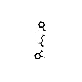 Nc1ccccc1C(=O)OC(=O)CCC(N)C(=O)OC(=O)c1ccccc1N